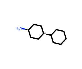 N[C@H]1CC[C@@H](C2CCCCC2)CC1